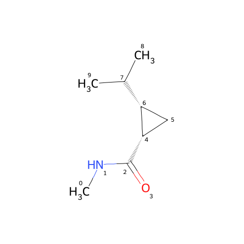 CNC(=O)[C@H]1C[C@H]1C(C)C